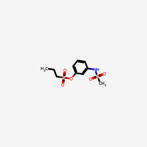 CCCS(=O)(=O)Oc1cccc(NS(C)(=O)=O)c1